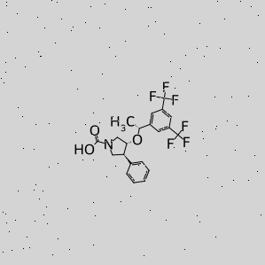 C[C@@H](O[C@H]1CN(C(=O)O)C[C@@H]1c1ccccc1)c1cc(C(F)(F)F)cc(C(F)(F)F)c1